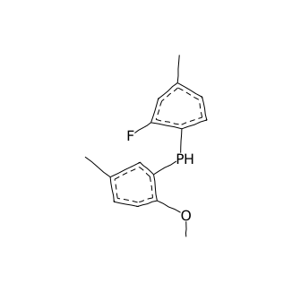 COc1ccc(C)cc1Pc1ccc(C)cc1F